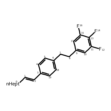 CCCCCCC/C=C/c1ccc(CCc2cc(F)c(F)c(F)c2)cc1